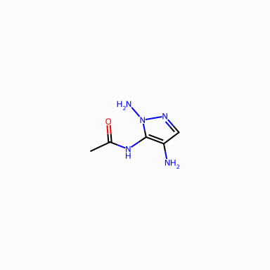 CC(=O)Nc1c(N)cnn1N